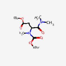 CN(C)C(=O)C(CC(=O)OC(C)(C)C)N(C)C(=O)OC(C)(C)C